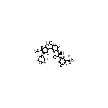 Cc1ncc(NC(=O)c2cccc(C(F)(F)F)c2)cc1-c1cnc(C#N)c(N2CCOCC2)c1